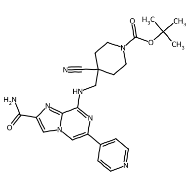 CC(C)(C)OC(=O)N1CCC(C#N)(CNc2nc(-c3ccncc3)cn3cc(C(N)=O)nc23)CC1